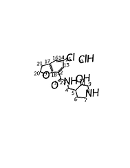 Cl.O=C(NCC1CCNCC1O)c1cc(Cl)cc2c1OCC2